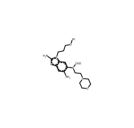 CC(C)OCCCn1c(N)nc2cc(N)c(N(C=O)CCN3CCOCC3)cc21